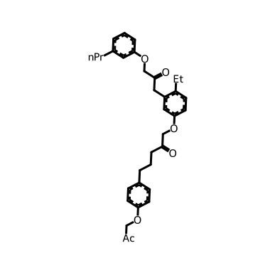 CCCc1cccc(OCC(=O)Cc2cc(OCC(=O)CCCc3ccc(OCC(C)=O)cc3)ccc2CC)c1